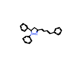 C(/C=C/c1ccccc1)=C\C1=NN(c2ccccc2)C(c2ccccc2)C1